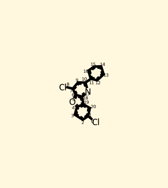 Clc1ccc2oc3c(Cl)cc(-c4ccccc4)nc3c2c1